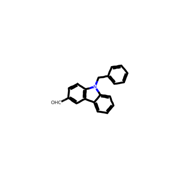 O=Cc1c[c]c2c(c1)c1ccccc1n2Cc1ccccc1